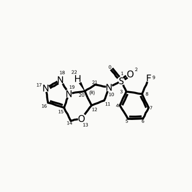 C=S(=O)(c1ccccc1F)N1CC2OCc3cnnn3[C@@H]2C1